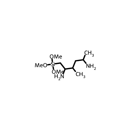 CO[Si](CC(N)C(C)CC(C)N)(OC)OC